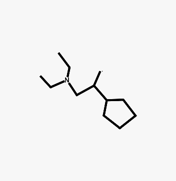 [CH2]C(CN(CC)CC)C1CCCC1